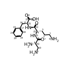 NCCC[C@H](NC(=O)[C@@H](N)CN)C(=O)N[C@@H](Cc1ccccc1)C(=O)O